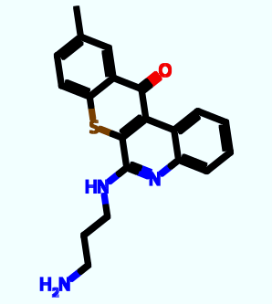 Cc1ccc2sc3c(NCCCN)nc4ccccc4c3c(=O)c2c1